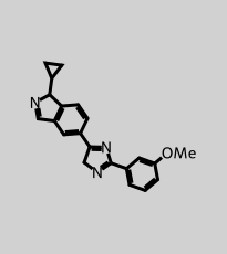 COc1cccc(C2=NCC(c3ccc4c(c3)C=NC4C3CC3)=N2)c1